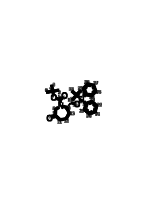 CC(C)(C)OC(=O)N1CC(=O)CCC[C@H]1CO[Si](c1ccccc1)(c1ccccc1)C(C)(C)C